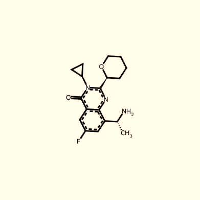 C[C@@H](N)c1cc(F)cc2c(=O)n(C3CC3)c([C@@H]3CCCCO3)nc12